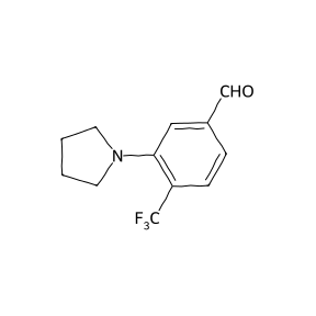 O=Cc1ccc(C(F)(F)F)c(N2CCCC2)c1